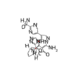 CC(=O)c1c([C@H]2C[C@H]3CC[C@@H](C2)N3C(=O)c2nnc[nH]2)nc2c(-c3cnc(C(N)=O)nc3)cnn2c1N